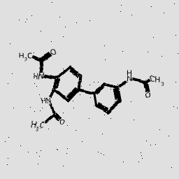 CC(=O)Nc1cc[c]c(-c2ccc(NC(C)=O)c(NC(C)=O)c2)c1